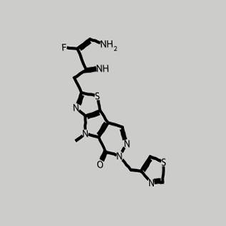 Cn1c2nc(CC(=N)/C(F)=C\N)sc2c2cnn(Cc3cscn3)c(=O)c21